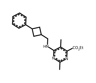 CCOC(=O)c1nc(C)nc(NCC2CC(c3ccccc3)C2)c1C